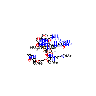 C=C(CC/C=N/OC)CNC(=O)c1cc(OC)c(OCCCCCOc2cc3c(cc2OC)C(=O)N2CC(=C)C[C@H]2C=N3)cc1NC(=O)OCCSSC(C)(C)[C@H](NC(=O)[C@H](CC(=O)O)NC(=O)[C@H](CC(=O)O)NC(=O)[C@H](CCCNC(=N)N)NC(=O)[C@H](CC(=O)O)NC(=O)CC[C@H](NC(=O)c1ccc(NCc2cnc3nc(N)[nH]c(=O)c3n2)cc1)C(=O)O)C(=O)O